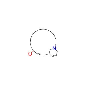 O=C1C=CCC2C=CCN(CCCCCCCCCCCC1)C2